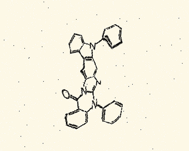 O=c1c2ccccc2n(-c2ccccc2)c2nc3cc4c(cc3n12)c1ccccc1n4-c1ccccc1